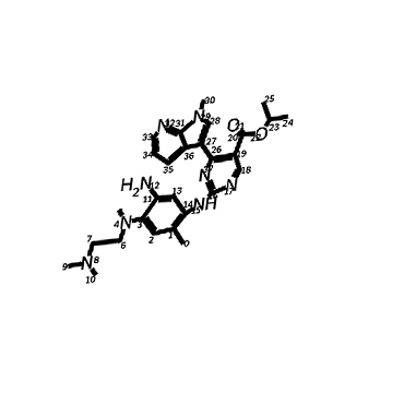 Cc1cc(N(C)CCN(C)C)c(N)cc1Nc1ncc(C(=O)OC(C)C)c(-c2cn(C)c3ncccc23)n1